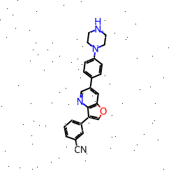 N#Cc1cccc(-c2coc3cc(-c4ccc(N5CCNCC5)cc4)cnc23)c1